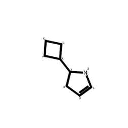 C1=C[N]C(C2CCC2)C1